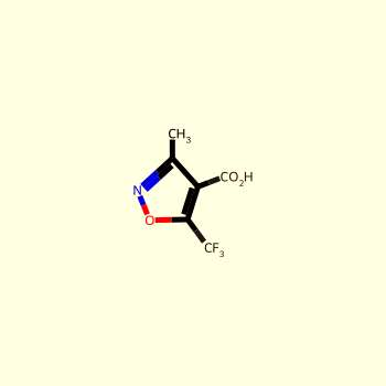 Cc1noc(C(F)(F)F)c1C(=O)O